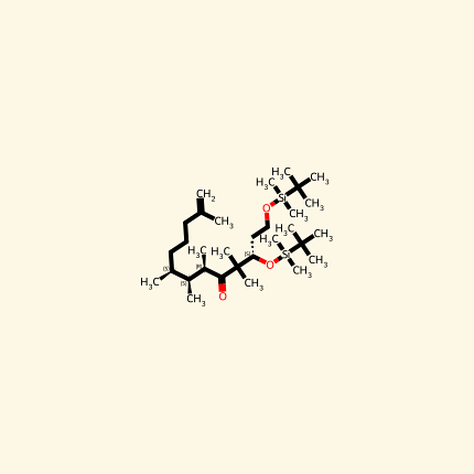 C=C(C)CCC[C@H](C)[C@H](C)[C@@H](C)C(=O)C(C)(C)[C@H](CCO[Si](C)(C)C(C)(C)C)O[Si](C)(C)C(C)(C)C